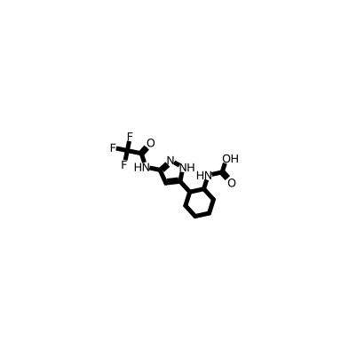 O=C(O)NC1CCCCC1c1cc(NC(=O)C(F)(F)F)n[nH]1